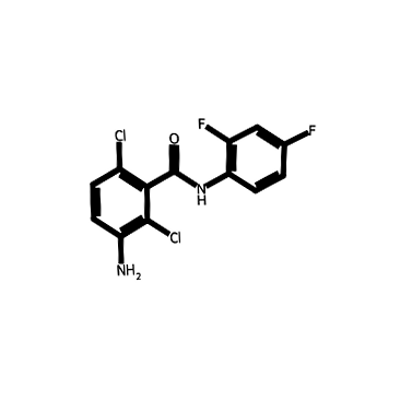 Nc1ccc(Cl)c(C(=O)Nc2ccc(F)cc2F)c1Cl